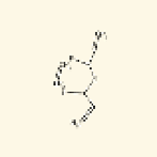 C=C.C=CC(F)OC(F)C=C